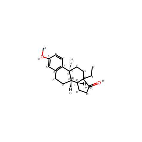 CCC12CC[C@@H]3c4ccc(OC)cc4CC[C@H]3[C@H]1CCC2=O